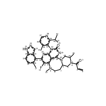 C=CC(=O)N1CC2CCN(C)c3c(F)c(-c4c(C)ccc5[nH]ncc45)nc4c3c(nc(=O)n4-c3c(C)ccnc3C(C)C)N2CC1C